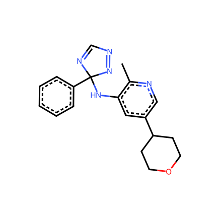 Cc1ncc(C2CCOCC2)cc1NC1(c2ccccc2)N=CN=N1